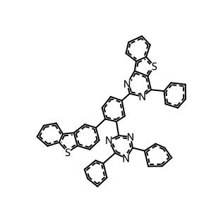 c1ccc(-c2nc(-c3ccccc3)nc(-c3cc(-c4nc(-c5ccccc5)c5sc6ccccc6c5n4)ccc3-c3ccc4sc5ccccc5c4c3)n2)cc1